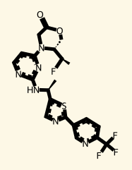 C[C@H](Nc1nccc(N2CC(=O)OC[C@@H]2[C@@H](C)F)n1)c1cnc(-c2ccc(C(F)(F)F)nc2)s1